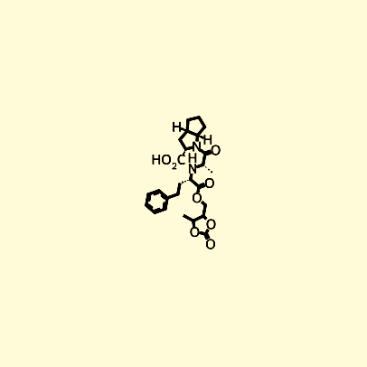 CC1OC(=O)OC1COC(=O)[C@H](CCc1ccccc1)N[C@@H](C)C(=O)N1[C@H](C(=O)O)C[C@@H]2CCC[C@@H]21